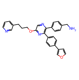 NCc1ccc(-c2ncc(OCCCc3cccnc3)nc2-c2ccc(-c3ccoc3)cc2)cc1